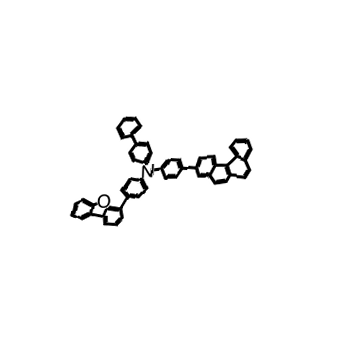 c1ccc(-c2ccc(N(c3ccc(-c4ccc5c(ccc6ccc7ccccc7c65)c4)cc3)c3ccc(-c4cccc5c4oc4ccccc45)cc3)cc2)cc1